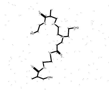 CSCC(C)C(=O)OCCOC(=O)CCN(CCC=O)CCSCC(C)C(=O)OCCO